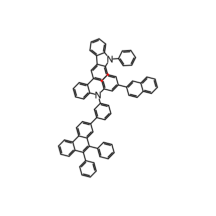 c1ccc(-c2c(-c3ccccc3)c3cc(-c4cccc(N(c5cccc(-c6ccc7ccccc7c6)c5)c5ccccc5-c5ccc6c(c5)c5ccccc5n6-c5ccccc5)c4)ccc3c3ccccc23)cc1